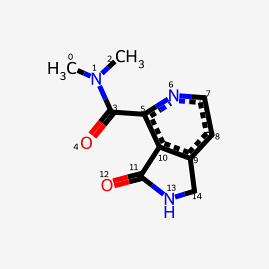 CN(C)C(=O)c1nccc2c1C(=O)NC2